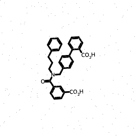 O=C(O)c1cccc(C(=O)N(CCCc2ccccc2)Cc2ccc(-c3ccccc3C(=O)O)cc2)c1